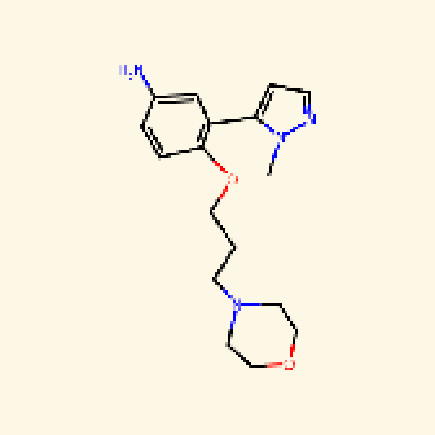 Cn1nccc1-c1cc(N)ccc1OCCCN1CCOCC1